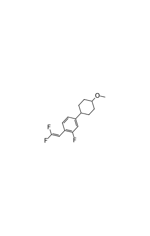 COC1CCC(c2ccc(C=C(F)F)c(F)c2)CC1